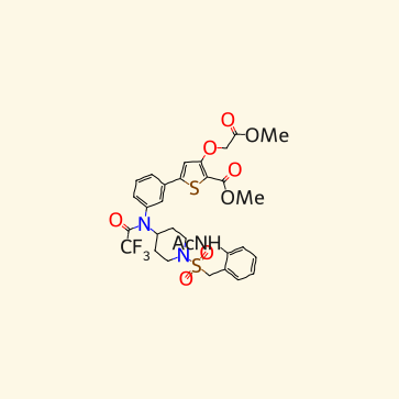 COC(=O)COc1cc(-c2cccc(N(C(=O)C(F)(F)F)C3CCN(S(=O)(=O)Cc4ccccc4NC(C)=O)CC3)c2)sc1C(=O)OC